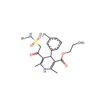 CC(=O)OCCOC(=O)C1=C(C)NC(C)=C(C(=O)CS(=O)(=O)NC(C)C)C1c1cccc([N+](=O)[O-])c1